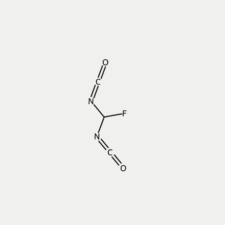 O=C=NC(F)N=C=O